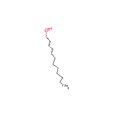 CCCCCCCC=CC=CCO